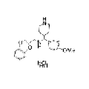 COc1ccc(C(NCC2COc3ccccc3O2)C2CCNCC2)cc1.Cl.Cl